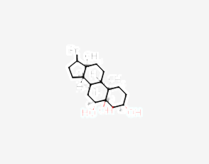 CC(C)C1CC[C@H]2[C@@H]3C[C@@H](O)[C@@]4(O)C[C@H](O)CC[C@]4(C)[C@H]3CC[C@]12C